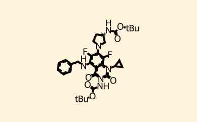 CC(C)(C)OC(=O)N[C@H]1CCN(c2c(F)c(NCc3ccccc3)c3c(=O)n(NC(=O)OC(C)(C)C)c(=O)n(C4CC4)c3c2F)C1